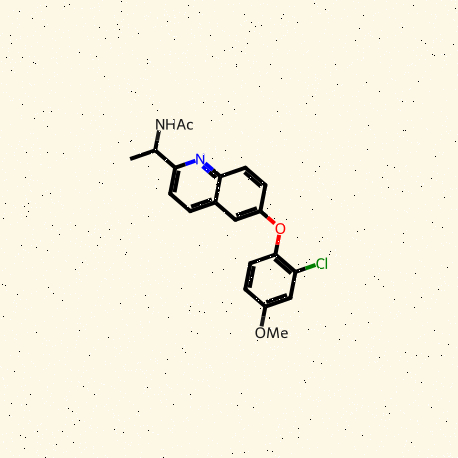 COc1ccc(Oc2ccc3nc(C(C)NC(C)=O)ccc3c2)c(Cl)c1